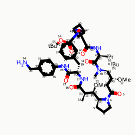 CC[C@H](C)[C@@H]([C@@H](CC(=O)N1CCC[C@H]1[C@H](OC)[C@@H](C)C(=O)N[C@@H](Cc1ccccc1)C(=O)Nc1ccc(CN)cc1)OC)N(C)C(=O)[C@@H](NC(=O)C1C2CC(C2)N1C(=O)OC(C)(C)C)C(C)C